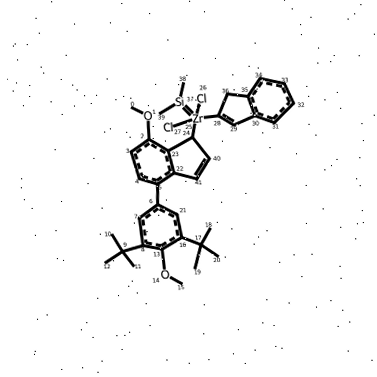 COc1ccc(-c2cc(C(C)(C)C)c(OC)c(C(C)(C)C)c2)c2c1[CH]([Zr]([Cl])([Cl])([C]1=Cc3ccccc3C1)=[Si](C)C)C=C2